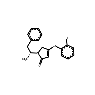 O=C(O)[C@H](Cc1ccccc1)N1CC(Oc2ccccc2Cl)=CC1=O